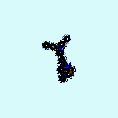 c1ccc(-c2ccc(N(c3ccc(-c4ccccc4)cc3)c3ccc(-c4ccc(-n5c6cccc(-n7c8ccccc8c8ccccc87)c6n6c7ccccc7nc56)cc4)cc3)cc2)cc1